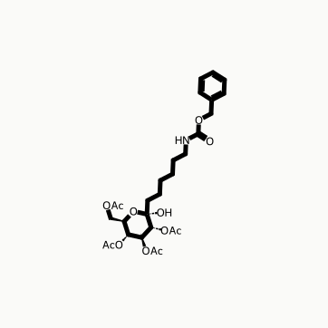 CC(=O)OC[C@H]1O[C@@](O)(CCCCCCNC(=O)OCc2ccccc2)[C@H](OC(C)=O)[C@@H](OC(C)=O)[C@@H]1OC(C)=O